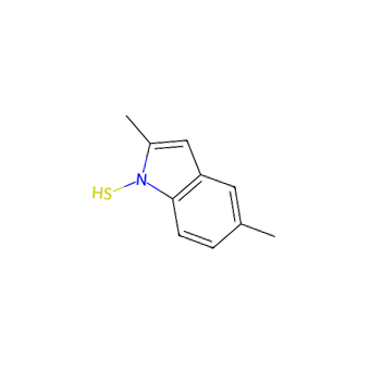 Cc1ccc2c(c1)cc(C)n2S